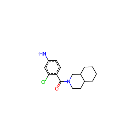 [NH]c1ccc(C(=O)N2CCC3CCCCC3C2)c(Cl)c1